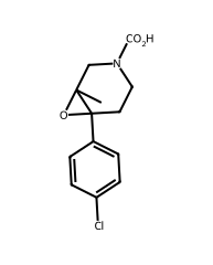 CC12CN(C(=O)O)CCC1(c1ccc(Cl)cc1)O2